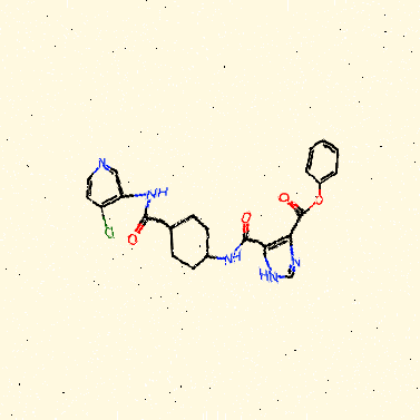 O=C(Oc1ccccc1)c1nc[nH]c1C(=O)NC1CCC(C(=O)Nc2cnccc2Cl)CC1